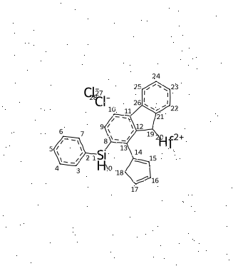 C[SiH](c1ccccc1)c1ccc2c(c1C1=CC=CC1)[CH]([Hf+2])c1ccccc1-2.[Cl-].[Cl-]